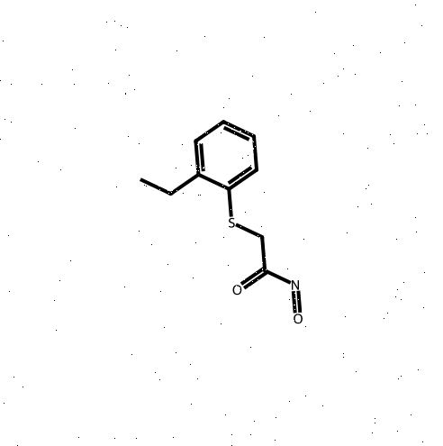 CCc1ccccc1SCC(=O)N=O